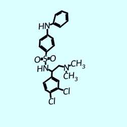 CN(C)CC(NS(=O)(=O)c1ccc(Nc2ccccc2)cc1)c1ccc(Cl)c(Cl)c1